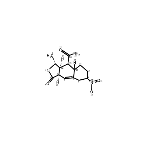 C[C@H]1OC(=O)[C@@H]2C=C3C[C@H]([N+](=O)[O-])CC[C@H]3[C@H](C(N)=O)[C@H]12